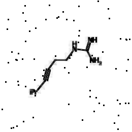 CC(C)C#CCCNC(=N)N